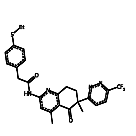 CCSc1ccc(CC(=O)Nc2cc(C)c3c(n2)CCC(C)(c2ccc(C(F)(F)F)nn2)C3=O)cc1